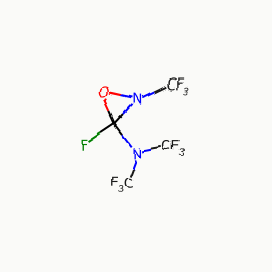 FC(F)(F)N1OC1(F)N(C(F)(F)F)C(F)(F)F